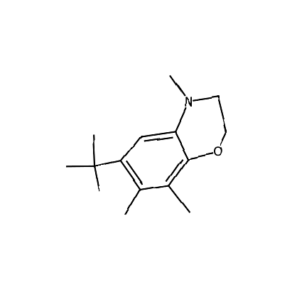 Cc1c(C(C)(C)C)cc2c(c1C)OCCN2C